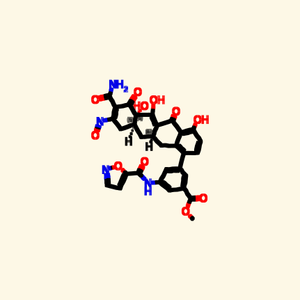 COC(=O)c1cc(NC(=O)c2ccno2)cc(-c2ccc(O)c3c2C[C@H]2C[C@H]4CC(N=O)=C(C(N)=O)C(=O)[C@@]4(O)C(O)=C2C3=O)c1